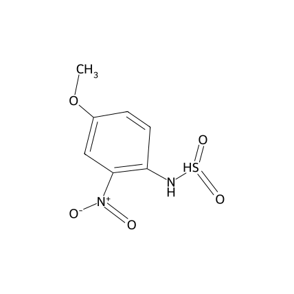 COc1ccc(N[SH](=O)=O)c([N+](=O)[O-])c1